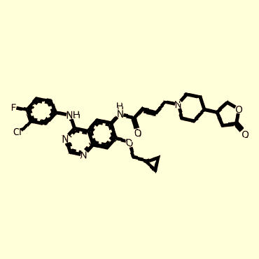 O=C(C=CCN1CCC(C2COC(=O)C2)CC1)Nc1cc2c(Nc3ccc(F)c(Cl)c3)ncnc2cc1OCC1CC1